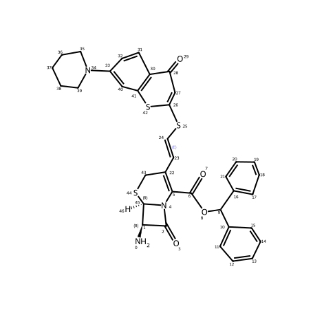 N[C@@H]1C(=O)N2C(C(=O)OC(c3ccccc3)c3ccccc3)=C(/C=C/Sc3cc(=O)c4ccc(N5CCCCC5)cc4s3)CS[C@H]12